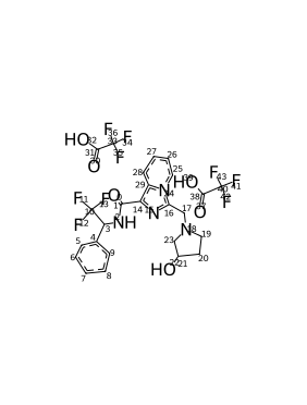 O=C(NC(c1ccccc1)C(F)(F)F)c1nc(CN2CCC(O)C2)n2ccccc12.O=C(O)C(F)(F)F.O=C(O)C(F)(F)F